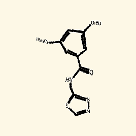 CC(C)COc1cc(OCC(C)C)cc(C(=O)Nc2nncs2)c1